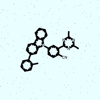 Cc1nc(C)nc(-c2cc(-n3c4ccccc4c4ccc(-c5ccccc5C)cc43)ccc2C#N)n1